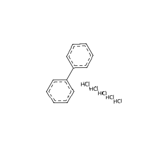 Cl.Cl.Cl.Cl.Cl.c1ccc(-c2ccccc2)cc1